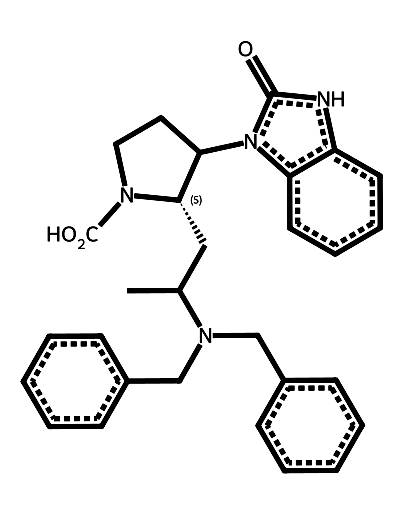 CC(C[C@H]1C(n2c(=O)[nH]c3ccccc32)CCN1C(=O)O)N(Cc1ccccc1)Cc1ccccc1